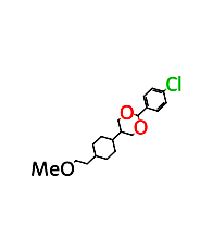 COCCC1CCC(C2COC(c3ccc(Cl)cc3)OC2)CC1